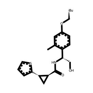 CC[C@H](C)COc1ccc([C@H](CO)NC(=O)[C@H]2C[C@@H]2c2cccs2)c(C)c1